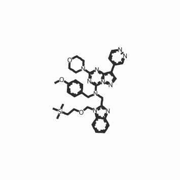 COc1ccc(CN(Cc2nc3ccccc3n2COCC[Si](C)(C)C)c2nc(N3CCOCC3)nc3c(-c4ccnnc4)cnn23)cc1